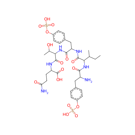 CCC(C)C(NC(=O)C(N)Cc1ccc(OS(=O)(=O)O)cc1)C(=O)NC(Cc1ccc(OS(=O)(=O)O)cc1)C(=O)NC(C(=O)NC(CCC(N)=O)C(=O)O)C(C)O